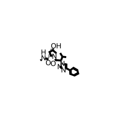 CNC(=O)[C@@H]1C[C@@H](O)CN1C(=O)C(C(C)C)n1cc(-c2ccccc2)nn1